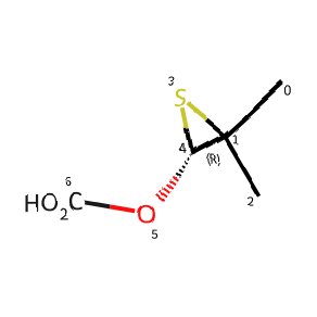 CC1(C)S[C@H]1OC(=O)O